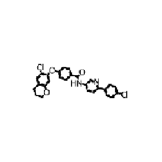 O=C(Nc1ccc(-c2ccc(Cl)cc2)nc1)c1ccc(Oc2cc3c(cc2Cl)CCCO3)cc1